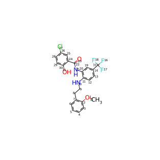 COc1ccccc1CCNc1ccc(C(F)(F)F)cc1NC(=O)c1cc(Cl)ccc1O